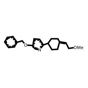 COCC=C1CCC(c2ccc(OCc3ccccc3)cn2)CC1